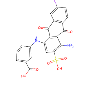 Nc1c(S(=O)(=O)O)cc(Nc2cccc(C(=O)O)c2)c2c1C(=O)c1ccc(I)cc1C2=O